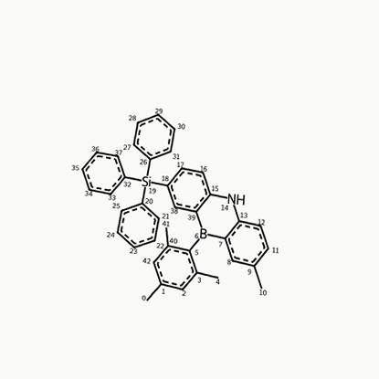 Cc1cc(C)c(B2c3cc(C)ccc3Nc3ccc([Si](c4ccccc4)(c4ccccc4)c4ccccc4)cc32)c(C)c1